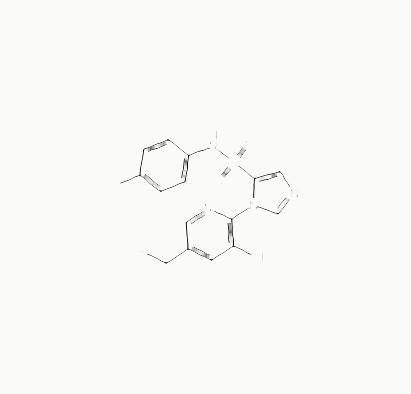 O=S(=O)(Nc1ccc(F)cc1)c1cncn1-c1ncc(CF)cc1Cl